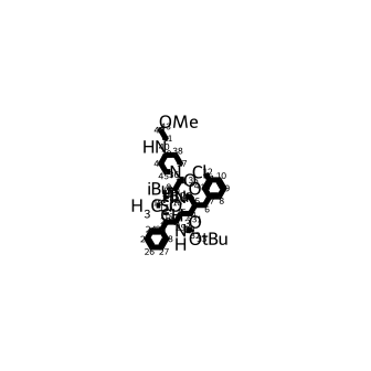 CC[C@H](C)[C@H](NC(=O)C(Cc1cccc(Cl)c1)CC(O[Si](C)(C)C(C)(C)C)C(Cc1ccccc1)NC(=O)OC(C)(C)C)C(=O)N1CCC(NCCOC)CC1